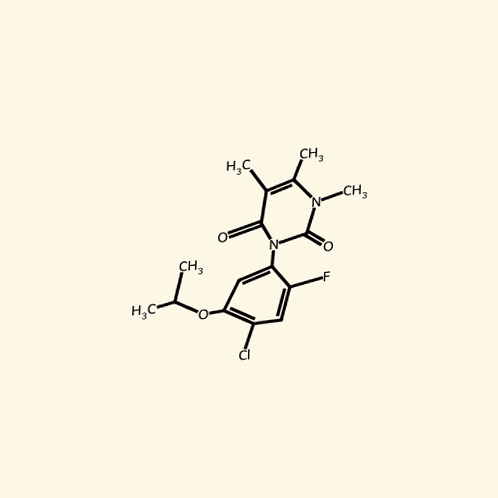 Cc1c(C)n(C)c(=O)n(-c2cc(OC(C)C)c(Cl)cc2F)c1=O